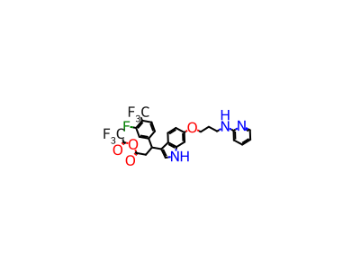 O=C(CC(c1ccc(C(F)(F)F)c(F)c1)c1c[nH]c2cc(OCCCNc3ccccn3)ccc12)OC(=O)C(F)(F)F